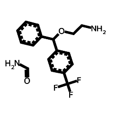 NC=O.NCCOC(c1ccccc1)c1ccc(C(F)(F)F)cc1